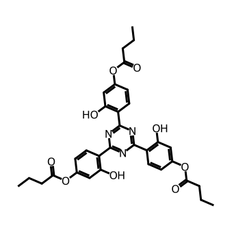 CCCC(=O)Oc1ccc(-c2nc(-c3ccc(OC(=O)CCC)cc3O)nc(-c3ccc(OC(=O)CCC)cc3O)n2)c(O)c1